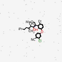 CCc1ccc(Oc2ccc(C#N)c(Cl)c2)cc1/C(COC)=C(\O)C(C)[C@@H](C)CCC(C)C